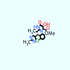 COC(=O)c1nc(C(C)[C@@H](c2cnc(C)nc2)c2ccccc2Cl)[nH]c(=O)c1O